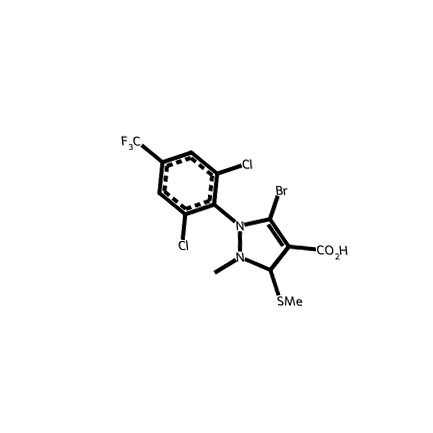 CSC1C(C(=O)O)=C(Br)N(c2c(Cl)cc(C(F)(F)F)cc2Cl)N1C